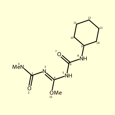 CNC(=O)N=C(NC(=O)NC1CCCCC1)OC